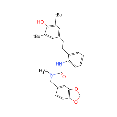 CN(Cc1ccc2c(c1)OCO2)C(=O)Nc1ccccc1CCc1cc(C(C)(C)C)c(O)c(C(C)(C)C)c1